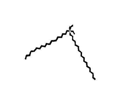 CCCCCCCCCCCCCCCCCC[PH](CC)(CC)CCCCCCCCCCCCCCCCCC